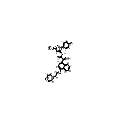 Cc1ccc(-n2nc(C(C)(C)C)cc2NC(=O)C(=N)c2ccc(OCCN3CCOCC3)c3ccccc23)cc1